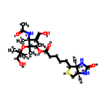 CC(=O)N[C@@](C)(/C(C)=C/O)C(C)(COC(=O)CCCCC1SC[C@@H]2NC(=O)N[C@H]12)OC(C)(C)CO